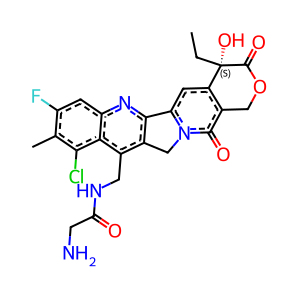 CC[C@@]1(O)C(=O)OCc2c1cc1n(c2=O)Cc2c-1nc1cc(F)c(C)c(Cl)c1c2CNC(=O)CN